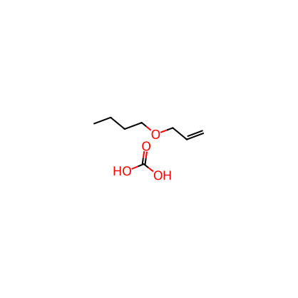 C=CCOCCCC.O=C(O)O